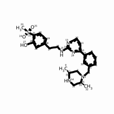 C[C@H]1CN(Cc2cccc(-c3ccnc(NCCc4ccc(S(C)(=O)=O)c(O)c4)n3)c2)[C@@H](C)CN1